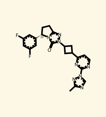 Cc1ncn(-c2nccc(C3CC(n4nc5n(c4=O)[C@H](c4cc(F)cc(F)c4)CC5)C3)n2)n1